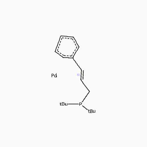 CC(C)(C)P(C/C=C/c1ccccc1)C(C)(C)C.[Pd]